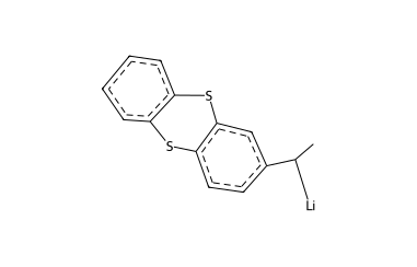 [Li][CH](C)c1ccc2c(c1)Sc1ccccc1S2